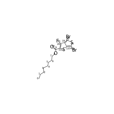 CCCCCCCCOC(=O)c1sc2c(Br)sc(Br)c2c1F